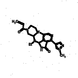 C=CC(=O)N1CCCC(N(CC)C2NC(=O)c3c(-c4cnn(C)c4)ncc(F)c32)C1